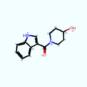 O=C(c1c[nH]c2ccccc12)N1CCC(O)CC1